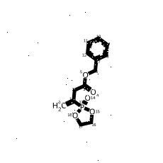 C=C(CC(=O)OCc1ccccc1)P1(=O)OCCO1